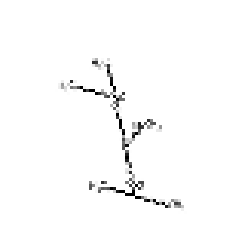 CCCCCCCCC(CCCCCC)C(=O)OCCCCCCN(CCCCCCOC(=O)C(CCCCCC)CCCCCCCC)CCCNC